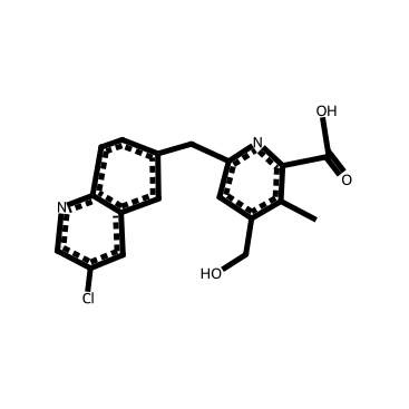 Cc1c(CO)cc(Cc2ccc3ncc(Cl)cc3c2)nc1C(=O)O